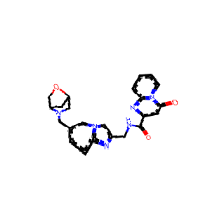 O=C(NCc1cn2cc(CN3CC4CC3CO4)ccc2n1)c1cc(=O)n2ccccc2n1